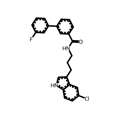 O=C(NCCCc1c[nH]c2ccc(Cl)cc12)c1cccc(-c2cccc(F)c2)c1